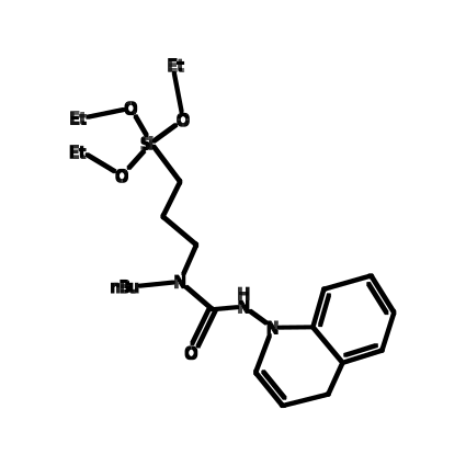 CCCCN(CCC[Si](OCC)(OCC)OCC)C(=O)NN1C=CCc2ccccc21